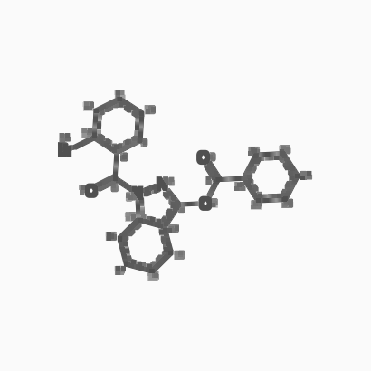 O=C(Oc1nn(C(=O)c2ccccc2Br)c2ccccc12)c1ccccc1